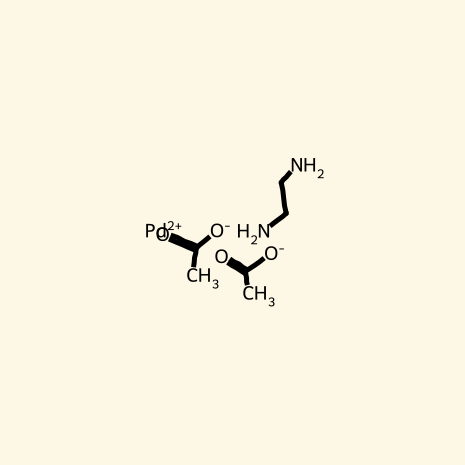 CC(=O)[O-].CC(=O)[O-].NCCN.[Pd+2]